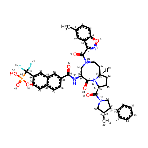 Cc1ccc2onc(C(=O)N3CC[C@H]4CC[C@@H](C(=O)N5C[C@H](c6ccccc6)[C@@H](C)C5)N4C(=O)[C@@H](NC(=O)c4ccc5ccc(C(F)(F)P(=O)(O)O)cc5c4)C3)c2c1